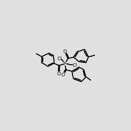 Cc1ccc(C(=O)P(Cl)(Cl)(C(=O)c2ccc(C)cc2)C(=O)c2ccc(C)cc2)cc1